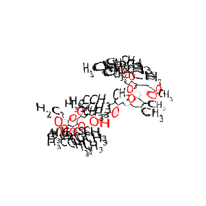 C=CC[C@@H]1O[C@@H]([C@H](/C=C/C(O)CCC2CC(=C)C(CC[C@H]3C[C@@H](C)C(=C)[C@@H](C[C@@H]4OC(CC(CO[Si](C)(C)C(C)(C)C)O[Si](C)(C)C(C)(C)C)[C@H](OC)C4CC(=O)OC)O3)O2)O[Si](C)(C)C(C)(C)C)C(O[Si](C)(C)C(C)(C)C)C(O[Si](C)(C)C(C)(C)C)[C@H]1OC(=O)c1ccccc1